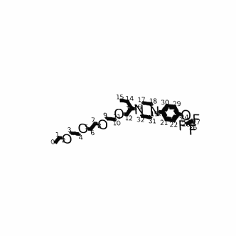 CCOCCOCCOCCOCC(CC)N1CCN(c2ccc(OC(F)(F)F)cc2)CC1